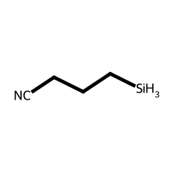 N#CCCC[SiH3]